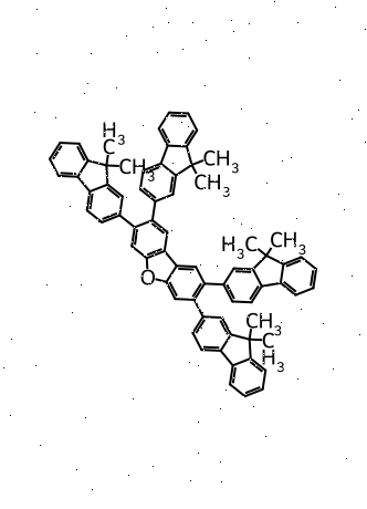 CC1(C)c2ccccc2-c2ccc(-c3cc4oc5cc(-c6ccc7c(c6)C(C)(C)c6ccccc6-7)c(-c6ccc7c(c6)C(C)(C)c6ccccc6-7)cc5c4cc3-c3ccc4c(c3)C(C)(C)c3ccccc3-4)cc21